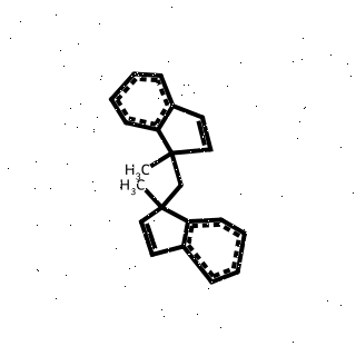 CC1(CC2(C)C=Cc3ccccc32)C=Cc2ccccc21